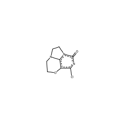 O=c1nc(Cl)c2c3n1CCN3CCO2